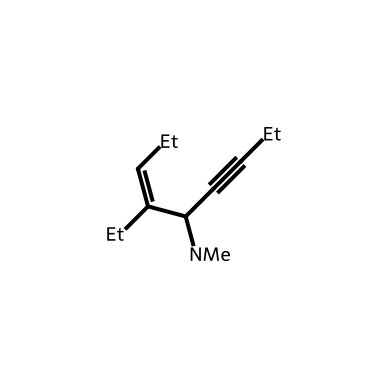 CCC#CC(NC)/C(=C\CC)CC